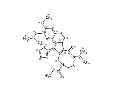 CCC(=O)N1CCN(C(C)C)C(=O)c2c(c(-c3cccs3)c3n2CCc2cc(OC)c(OC(C)C)cc2-3)C1